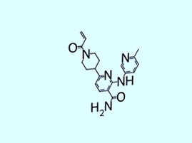 C=CC(=O)N1CCC(c2ccc(C(N)=O)c(Nc3ccc(C)nc3)n2)CC1